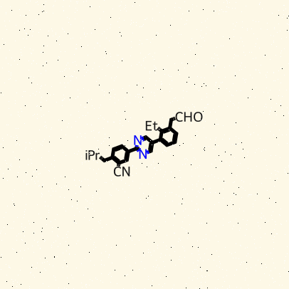 CCc1c(CC=O)cccc1-c1cnc(-c2ccc(CC(C)C)c(C#N)c2)nc1